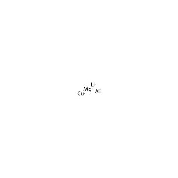 [Al].[Cu].[Li].[Mg]